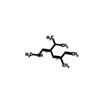 C=C/C(C)=C\C(=C/NC)C(C)C